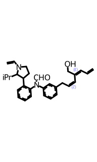 C=C/C=C(\C=C/Cc1cccc(N(C=O)c2ccccc2C2CCN(C=C)C2C(C)C)c1)CO